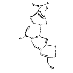 CCN(c1nc2cc(C(=O)O)ccc2nc1-c1ccc2[nH]ncc2c1)C(C)C